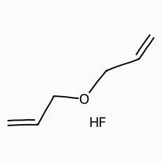 C=CCOCC=C.F